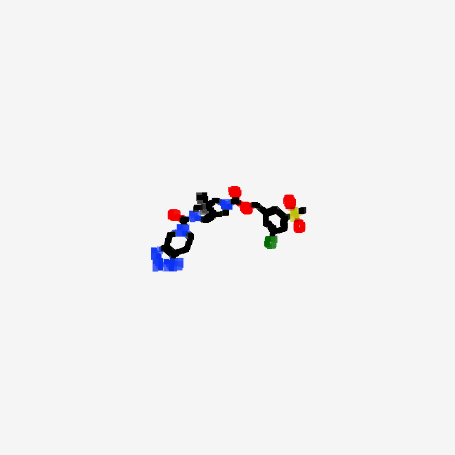 CS(=O)(=O)c1cc(Cl)cc(COC(=O)N2CC3=CN(C(=O)N4CCc5[nH]nnc5C4)C[C@H]3C2)c1